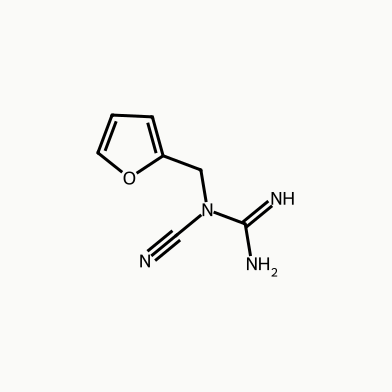 N#CN(Cc1ccco1)C(=N)N